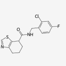 O=C(NCc1ccc(F)cc1Cl)C1CCCc2ncsc21